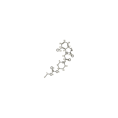 CCOC(=O)OC1CCN(C(=O)Cn2c(=O)sc3cccc(Cl)c32)CC1